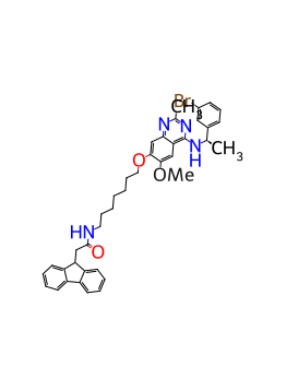 COc1cc2c(N[C@H](C)c3cccc(Br)c3)nc(C)nc2cc1OCCCCCCCNC(=O)CC1c2ccccc2-c2ccccc21